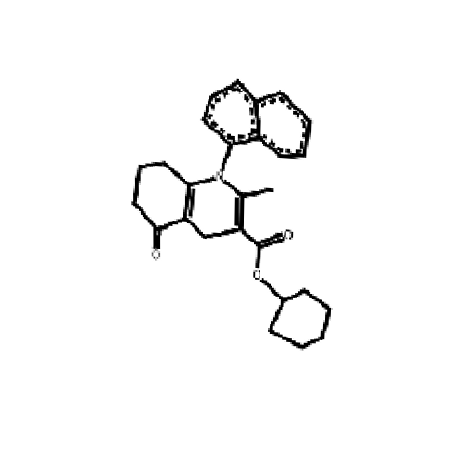 CC1=C(C(=O)OC2CCCCC2)CC2=C(CCCC2=O)N1c1cccc2ccccc12